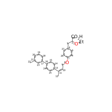 CCOC(Cc1ccc(OCC=C(C)c2ccc(-c3cccc(C)c3)cc2)cc1)C(=O)O